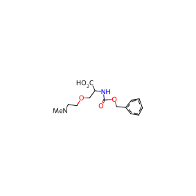 CNCCOCC(NC(=O)OCc1ccccc1)C(=O)O